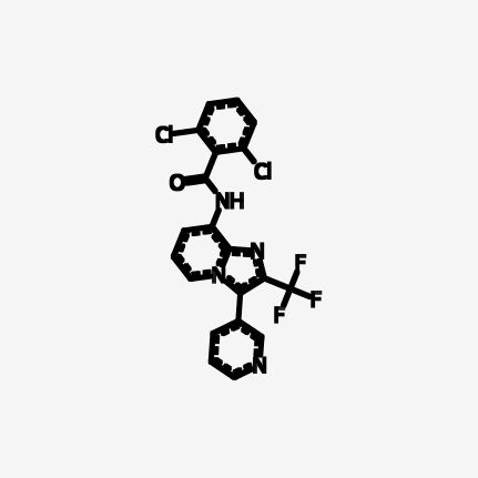 O=C(Nc1cccn2c(-c3cccnc3)c(C(F)(F)F)nc12)c1c(Cl)cccc1Cl